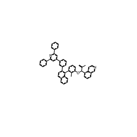 C=C(C)C(Oc1cccc(-c2c(-c3cccc(-c4cc(-c5ccccc5)nc(-c5ccccc5)c4)c3)ccc3ccccc23)c1C)c1cccc2cnccc12